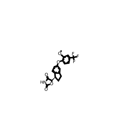 COc1cc(C(F)(F)F)ccc1Oc1ccc2c(c1)CC[C@H]2C1OC(=O)NC1=O